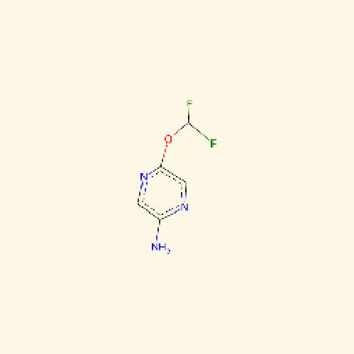 Nc1cnc(OC(F)F)cn1